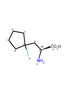 N[C@@H](CC1(F)CCCC1)C(=O)O